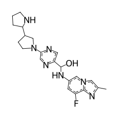 Cc1cn2cc(NC(O)c3cnc(N4CCC(C5CCCN5)C4)cn3)cc(F)c2n1